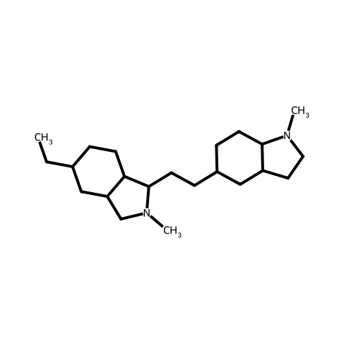 CCC1CCC2C(C1)CN(C)C2CCC1CCC2C(CCN2C)C1